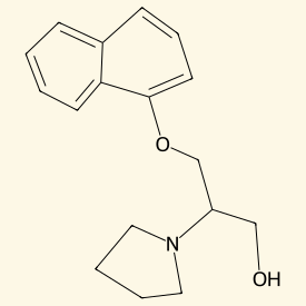 OCC(COc1cccc2ccccc12)N1CCCC1